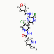 C[C@@H]1CC[C@@H](C(=O)Nc2cc(-c3cnc(F)c(NCC4CCOCC4)n3)c(Cl)cn2)CN1